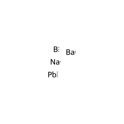 [B].[Ba].[Na].[Pb]